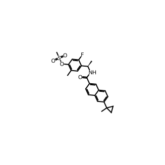 Cc1cc([C@@H](C)NC(=O)c2ccc3cc(C4(C)CC4)ccc3c2)c(F)cc1OS(C)(=O)=O